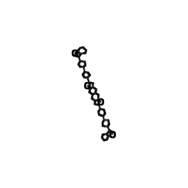 c1ccc2c(-c3ccc(-c4ccc(-c5cc6cc7cc8oc(-c9ccc(-c%10ccc(-c%11coc%12ccccc%11%12)cc%10)cc9)cc8cc7cc6o5)cc4)cc3)coc2c1